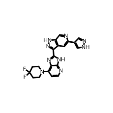 FC1(F)CCN(c2ccnc3[nH]c(-c4n[nH]c5cnc(-c6cn[nH]c6)cc45)nc23)CC1